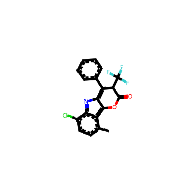 Cc1ccc(Cl)c2c1=C1OC(=O)C(C(F)(F)F)C(c3ccccc3)=C1N=2